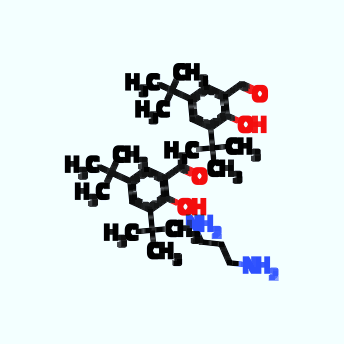 CC(C)(C)c1cc(C=O)c(O)c(C(C)(C)C)c1.CC(C)(C)c1cc(C=O)c(O)c(C(C)(C)C)c1.NCCCN